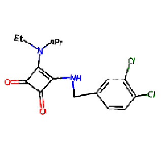 CCCN(CC)c1c(NCc2ccc(Cl)c(Cl)c2)c(=O)c1=O